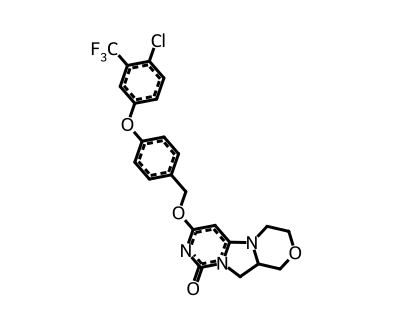 O=c1nc(OCc2ccc(Oc3ccc(Cl)c(C(F)(F)F)c3)cc2)cc2n1CC1COCCN21